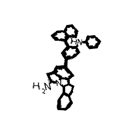 N[C@H]1Cc2cc(-c3ccc(Nc4ccccc4)c(-c4cccc5ccccc45)c3)cc3c2N1C1=C2C=CC=CC2CCC13